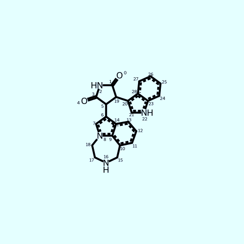 O=C1NC(=O)C(c2cn3c4c(cccc24)CNCC3)C1c1c[nH]c2ccccc12